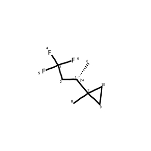 C[C@@H](CC(F)(F)F)C1(C)CC1